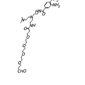 CN(C)CCN(CCNC(=O)CCOCCOCCOCCOCCC=O)CCNC(=O)c1ccc(N)c(N)c1